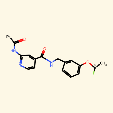 CC(C)C(=O)Nc1cc(C(=O)NCc2cccc(O[C@@H](C)F)c2)ccn1